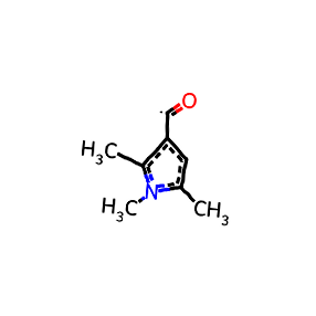 Cc1cc([C]=O)c(C)n1C